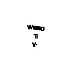 [O]=[W].[Ti].[V]